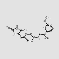 COc1cccc([C@@H](O)COC2C=CC(CC3SC(=O)NC3=O)=CC2)c1